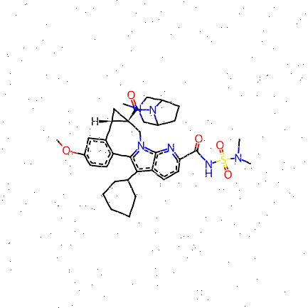 COc1ccc2c(c1)[C@@H]1C[C@]1(C(=O)N1C3CCC1CN(C)C3)Cn1c-2c(C2CCCCC2)c2ccc(C(=O)NS(=O)(=O)N(C)C)nc21